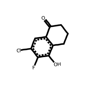 O=C1CCCc2c1cc(Cl)c(F)c2O